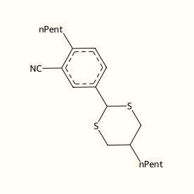 CCCCCc1ccc(C2SCC(CCCCC)CS2)cc1C#N